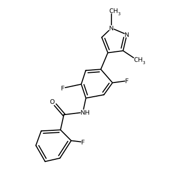 Cc1nn(C)cc1-c1cc(F)c(NC(=O)c2ccccc2F)cc1F